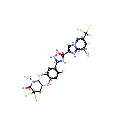 CN1C[C@H](Oc2cc(Cl)c(-c3noc(-c4cn5cc(C(F)(F)F)cc(Cl)c5n4)n3)cc2Cl)CC(F)(F)C1=O